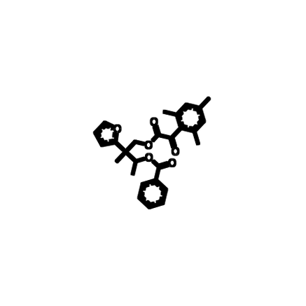 Cc1cc(C)c(C(=O)C(=O)OCC(C)(c2ccco2)C(C)OC(=O)c2ccccc2)c(C)c1